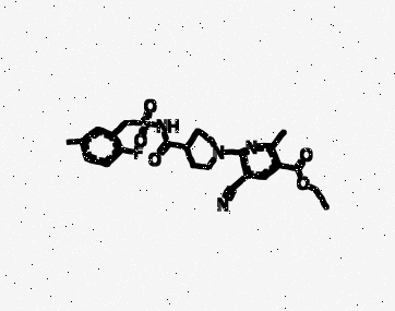 CCOC(=O)c1cc(C#N)c(N2CCC(C(=O)NS(=O)(=O)Cc3cc(C)ccc3F)CC2)nc1C